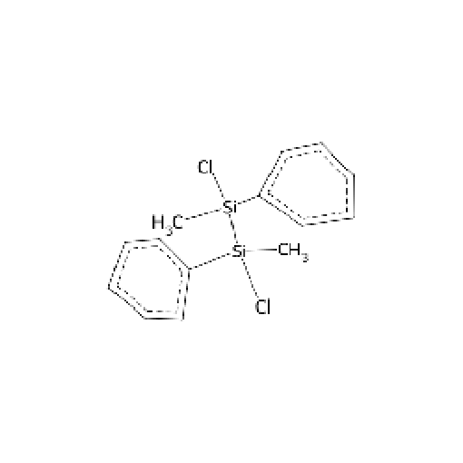 C[Si](Cl)(c1ccccc1)[Si](C)(Cl)c1ccccc1